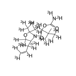 [2H]C([2H])=C([2H])C([2H])([2H])[C@]1([2H])N(C(=O)C([2H])(OC(=O)N([2H])[2H])C(C)(C([2H])[2H])C([2H])([2H])[2H])C(C([2H])([2H])[2H])(C([2H])([2H])[2H])OC1([2H])[2H]